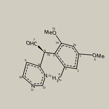 COc1cc(C)c([C@H](C=O)c2ccncn2)c(OC)c1